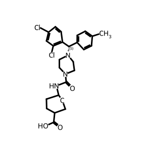 Cc1ccc([C@@H](c2ccc(Cl)cc2Cl)N2CCN(C(=O)NC3CCC(C(=O)O)CC3)CC2)cc1